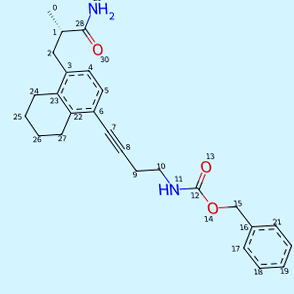 C[C@@H](Cc1ccc(C#CCCNC(=O)OCc2ccccc2)c2c1CCCC2)C(N)=O